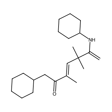 C=C(NC1CCCCC1)C(C)(C)/C=C(\C)C(=O)CC1CCCCC1